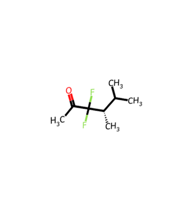 CC(=O)C(F)(F)[C@@H](C)C(C)C